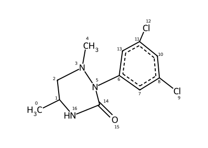 CC1CN(C)N(c2cc(Cl)cc(Cl)c2)C(=O)N1